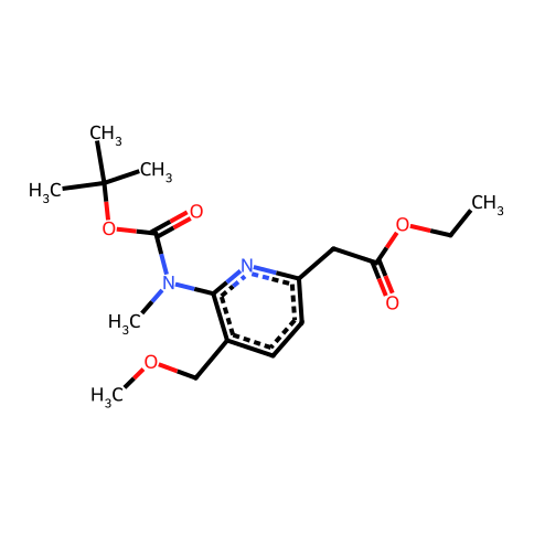 CCOC(=O)Cc1ccc(COC)c(N(C)C(=O)OC(C)(C)C)n1